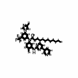 CCCCCCCCCCCC(=O)N(c1cc(-n2cnc(C)c2)cc(C(F)(F)F)c1)c1ccc(C)c(Nc2nccc(-c3cccnc3)n2)c1